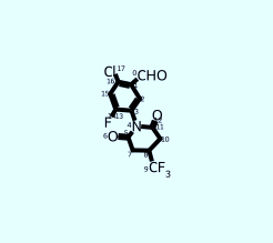 O=Cc1cc(N2C(=O)CC(C(F)(F)F)CC2=O)c(F)cc1Cl